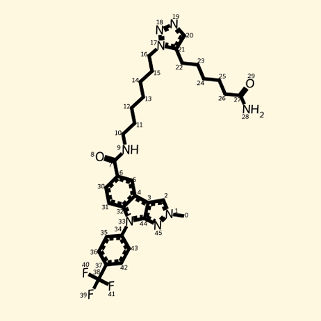 Cn1cc2c3cc(C(=O)NCCCCCCCn4nncc4CCCCCC(N)=O)ccc3n(-c3ccc(C(F)(F)F)cc3)c2n1